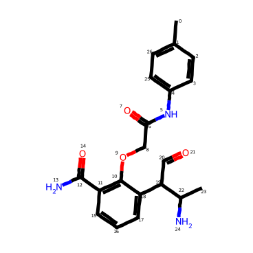 Cc1ccc(NC(=O)COc2c(C(N)=O)cccc2C(C=O)C(C)N)cc1